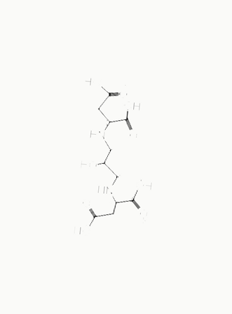 O=C(O)CC(NCC(O)CNC(CC(=O)O)C(=O)O)C(=O)O